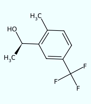 Cc1ccc(C(F)(F)F)cc1[C@@H](C)O